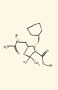 CC(C)[C@H](CC1OC(C)(C)N(C(=O)OC(C)(C)C)[C@H]1CC1CCCCC1)C(N)=O